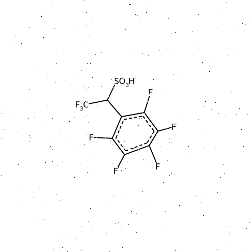 O=S(=O)(O)C(c1c(F)c(F)c(F)c(F)c1F)C(F)(F)F